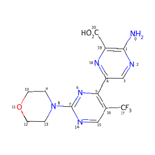 Nc1ncc(-c2nc(N3CCOCC3)ncc2C(F)(F)F)nc1C(=O)O